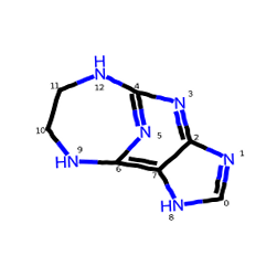 c1nc2nc3nc(c2[nH]1)NCCN3